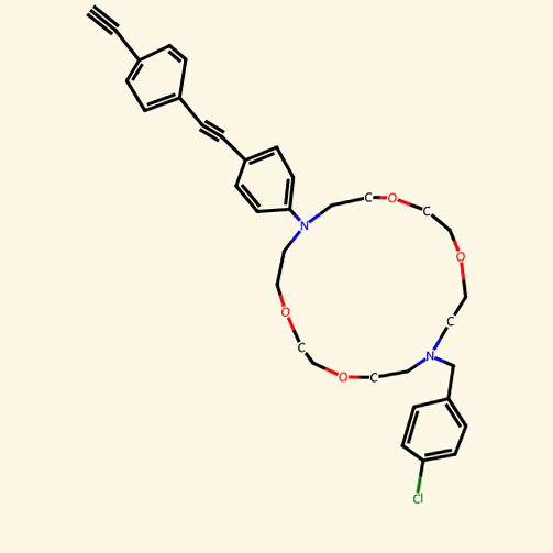 C#Cc1ccc(C#Cc2ccc(N3CCOCCOCCN(Cc4ccc(Cl)cc4)CCOCCOCC3)cc2)cc1